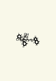 Cc1ccccc1Cc1c(OC(=O)O)n(CCCOc2cccc3ccccc23)c2ccccc12